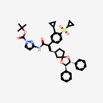 CC(C)(C)OC(=O)n1ccc(NC(=O)/C(=C/[C@H]2CCC3(C2)O[C@H](c2ccccc2)[C@@H](c2ccccc2)O3)c2ccc(S(=O)(=O)C3CC3)c(C3CC3)c2)n1